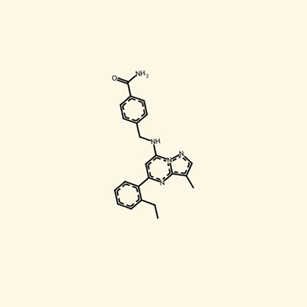 CCc1ccccc1-c1cc(NCc2ccc(C(N)=O)cc2)n2ncc(C)c2n1